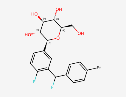 CCc1ccc(C(F)c2cc([C@@H]3O[C@H](CO)[C@@H](O)[C@H](O)[C@H]3O)ccc2F)cc1